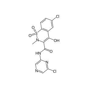 CN1C(C(=O)Nc2cncc(Cl)n2)=C(O)c2cc(Cl)ccc2S1(=O)=O